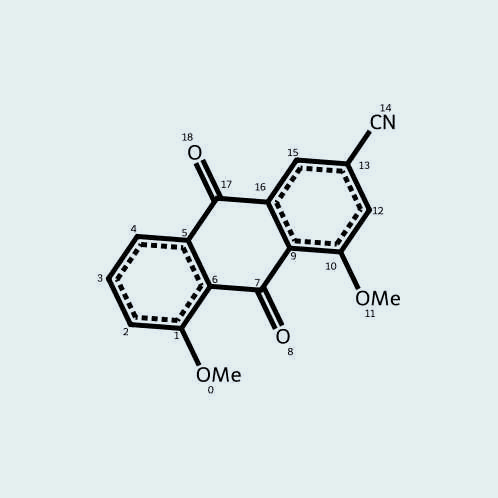 COc1cccc2c1C(=O)c1c(OC)cc(C#N)cc1C2=O